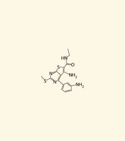 CCNC(=O)c1sc2nc(SC)nc(-c3cccc(N)c3)c2c1N